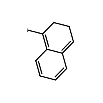 IC1=c2ccccc2=CCC1